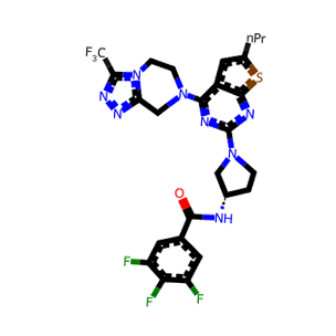 CCCc1cc2c(N3CCn4c(nnc4C(F)(F)F)C3)nc(N3CC[C@H](NC(=O)c4cc(F)c(F)c(F)c4)C3)nc2s1